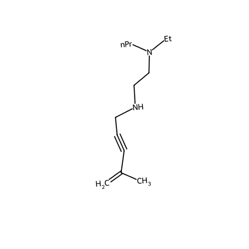 C=C(C)C#CCNCCN(CC)CCC